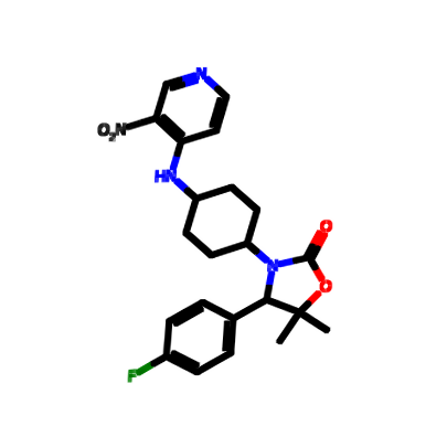 CC1(C)OC(=O)N(C2CCC(Nc3ccncc3[N+](=O)[O-])CC2)C1c1ccc(F)cc1